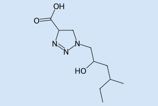 CCC(C)CC(O)CN1CC(C(=O)O)N=N1